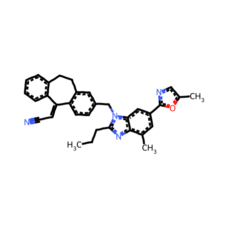 CCCc1nc2c(C)cc(-c3ncc(C)o3)cc2n1Cc1ccc2c(c1)CCc1ccccc1/C2=C\C#N